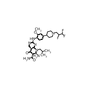 COc1cc(C2CCN(CC(F)C(F)F)CC2)ccc1Nc1ncc2c(=O)c(C(N)=O)c(N)n(CC(C)C)c2n1